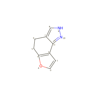 c1cc2c(o1)CCc1c[nH]nc1-2